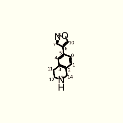 c1cc2c(cc1-c1cnoc1)CCNC2